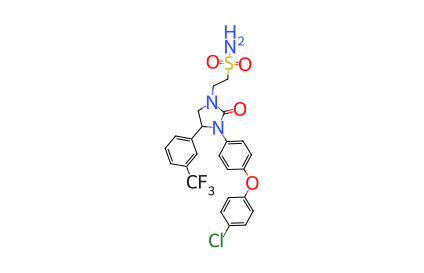 NS(=O)(=O)CCN1CC(c2cccc(C(F)(F)F)c2)N(c2ccc(Oc3ccc(Cl)cc3)cc2)C1=O